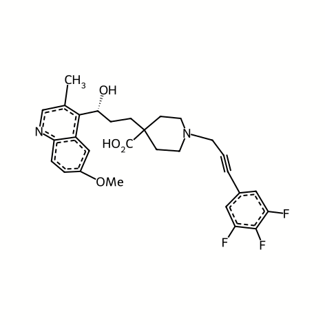 COc1ccc2ncc(C)c([C@H](O)CCC3(C(=O)O)CCN(CC#Cc4cc(F)c(F)c(F)c4)CC3)c2c1